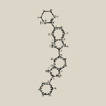 c1ccc(-c2nc3ccc(-c4nc5ccc(C6=NCCCN6)cc5[nH]4)cc3[nH]2)cc1